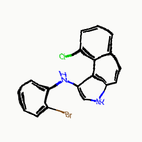 Clc1cccc2ccc3[nH]cc(Nc4ccccc4Br)c3c12